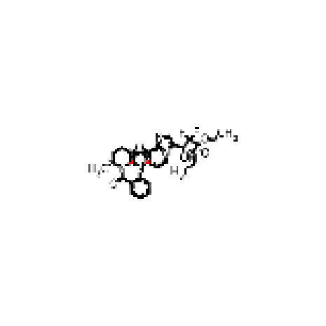 CCOP(=O)(OCC)C(F)(F)C(O)c1cnc2c(O[C@@H]3CC[C@@H](C)N(C(=O)c4ccccc4-n4nccn4)C3)nccn12